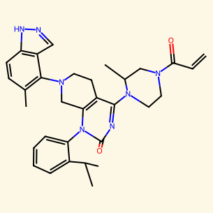 C=CC(=O)N1CCN(c2nc(=O)n(-c3ccccc3C(C)C)c3c2CCN(c2c(C)ccc4[nH]ncc24)C3)C(C)C1